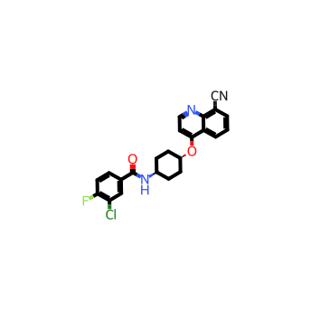 N#Cc1cccc2c(O[C@H]3CC[C@H](NC(=O)c4ccc(F)c(Cl)c4)CC3)ccnc12